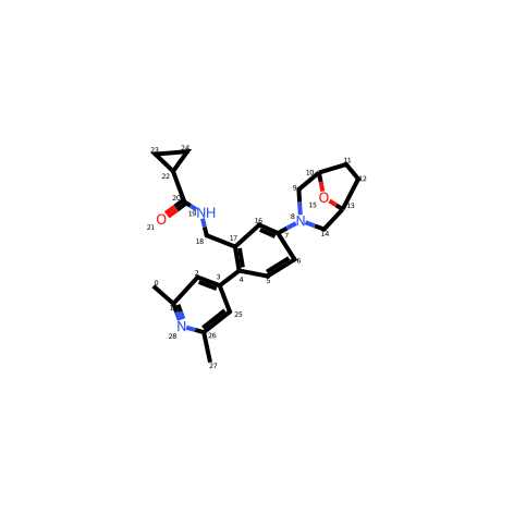 Cc1cc(-c2ccc(N3CC4CCC(C3)O4)cc2CNC(=O)C2CC2)cc(C)n1